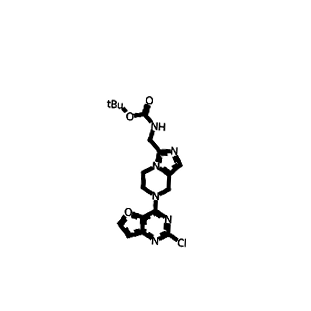 CC(C)(C)OC(=O)NCc1ncc2n1CCN(c1nc(Cl)nc3ccoc13)C2